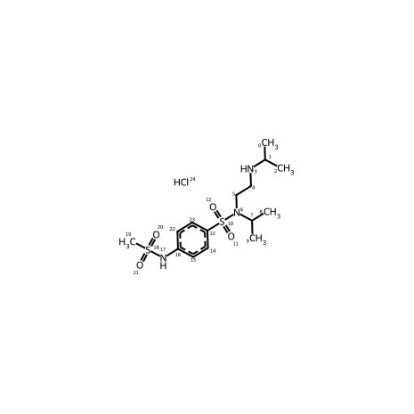 CC(C)NCCN(C(C)C)S(=O)(=O)c1ccc(NS(C)(=O)=O)cc1.Cl